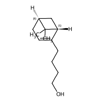 CC1(C)[C@H]2CC=C(CCCCO)[C@H]1C2